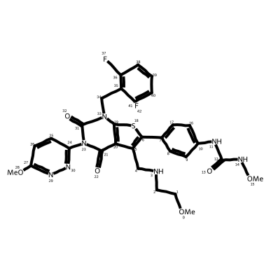 COCCNCc1c(-c2ccc(NC(=O)NOC)cc2)sc2c1c(=O)n(-c1ccc(OC)nn1)c(=O)n2Cc1c(F)cccc1F